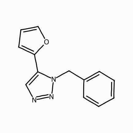 c1ccc(Cn2nncc2-c2ccco2)cc1